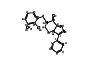 O=C1c2nnc(-c3cnccn3)n2CCN1Cc1cccc(C(F)(F)F)c1Cl